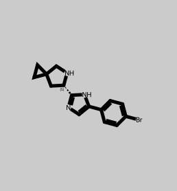 Brc1ccc(-c2cnc([C@@H]3CC4(CC4)CN3)[nH]2)cc1